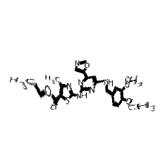 CCOC(=O)c1sc(Nc2nc(NCc3ccc(OC)c(OC)c3)cc(-c3cnco3)n2)nc1C